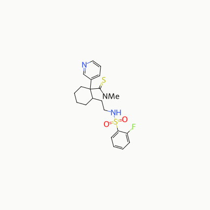 CNC(=S)C1(c2cccnc2)CCCCC1CCNS(=O)(=O)c1ccccc1F